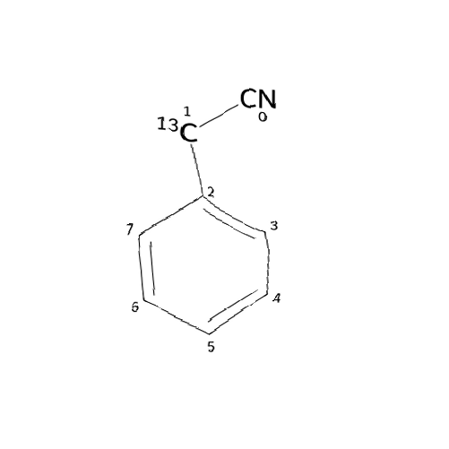 N#C[13CH2]c1ccccc1